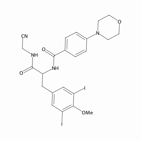 COc1c(I)cc(CC(NC(=O)c2ccc(N3CCOCC3)cc2)C(=O)NCC#N)cc1I